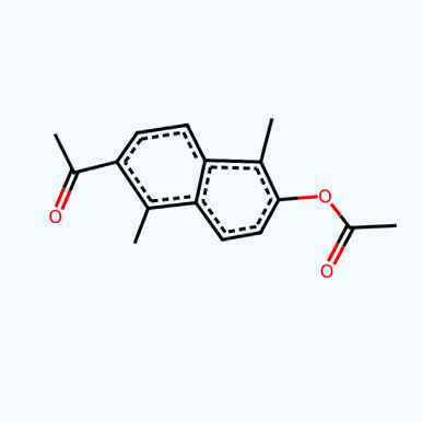 CC(=O)Oc1ccc2c(C)c(C(C)=O)ccc2c1C